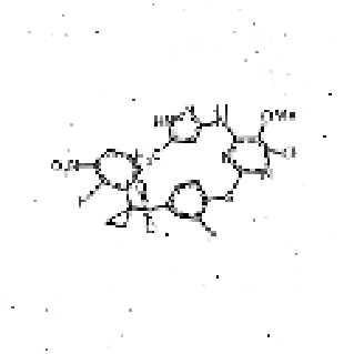 COc1c(Cl)nc(Sc2ccc(S(=O)(=O)C3(c4cccc([N+](=O)[O-])c4F)CC3)cc2F)nc1Nc1cc(C)[nH]n1